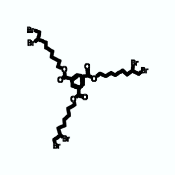 O=C(OCCCCCCC(Br)CBr)c1cc(C(=O)OCCCCCCC(Br)CBr)cc(C(=O)OCCCCCCC(Br)CBr)c1